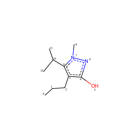 CCCc1c(O)nn(C)c1C(C)C